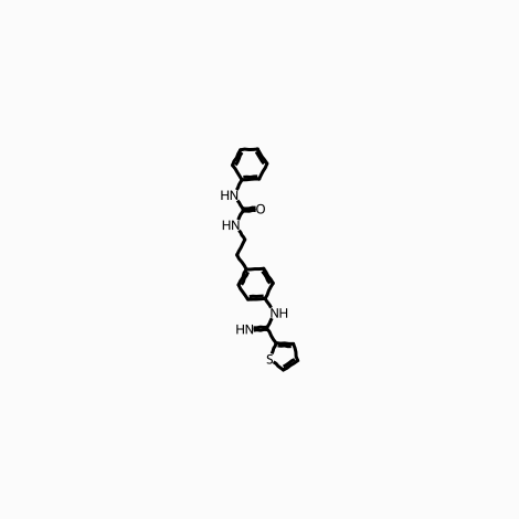 N=C(Nc1ccc(CCNC(=O)Nc2ccccc2)cc1)c1cccs1